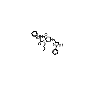 CCCCN1C(=O)C(Cc2ccccc2)NC(=O)C12CCN(Cc1c[nH]c(-c3ccccc3)n1)CC2